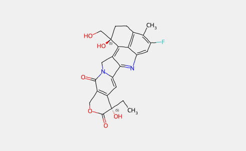 CC[C@@]1(O)C(=O)OCc2c1cc1n(c2=O)Cc2c-1nc1cc(F)c(C)c3c1c2[C@](O)(CO)CC3